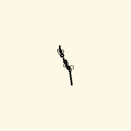 CCCCCCCCCCCCOc1ccc(C(=O)Oc2ccc(CC[C@H]3CC[C@H](OC(=O)[C@H](F)CCCC)CC3)cc2)cc1Cl